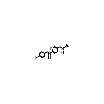 Fc1ccc(CNc2ccc(CNC3CC3)cn2)cc1